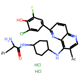 CC(=O)c1cnc2ccc(-c3cc(F)c(O)c(Cl)c3)nc2c1NC1CCC(NC(=O)C(N)C(C)C)CC1.Cl.Cl